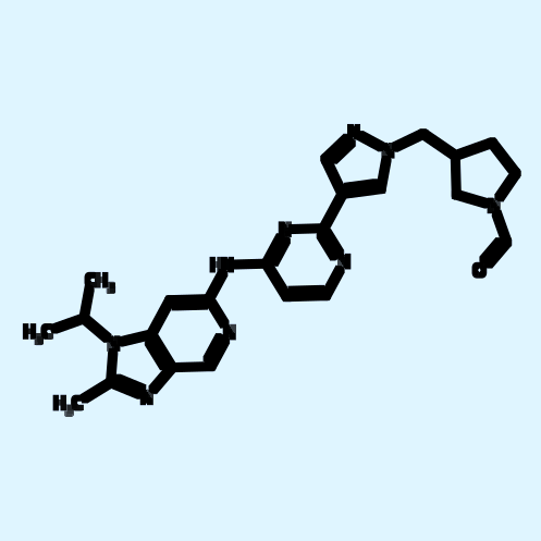 Cc1nc2cnc(Nc3ccnc(-c4cnn(CC5CCN(C=O)C5)c4)n3)cc2n1C(C)C